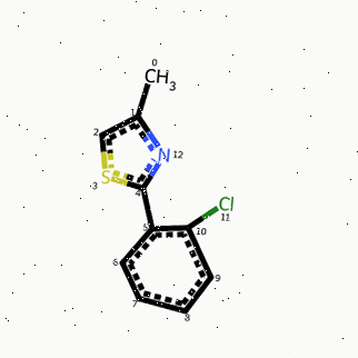 Cc1csc(-c2ccccc2Cl)n1